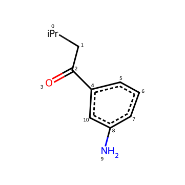 CC(C)CC(=O)c1cccc(N)c1